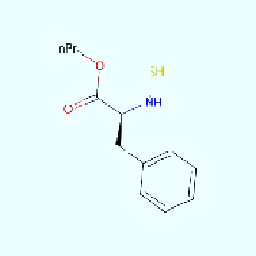 CCCOC(=O)[C@H](Cc1ccccc1)NS